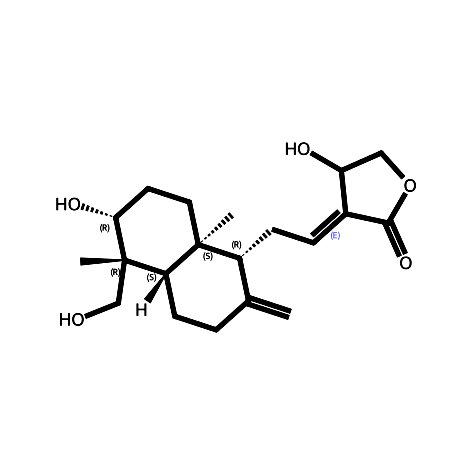 C=C1CC[C@@H]2[C@](C)(CO)[C@H](O)CC[C@@]2(C)[C@@H]1C/C=C1/C(=O)OCC1O